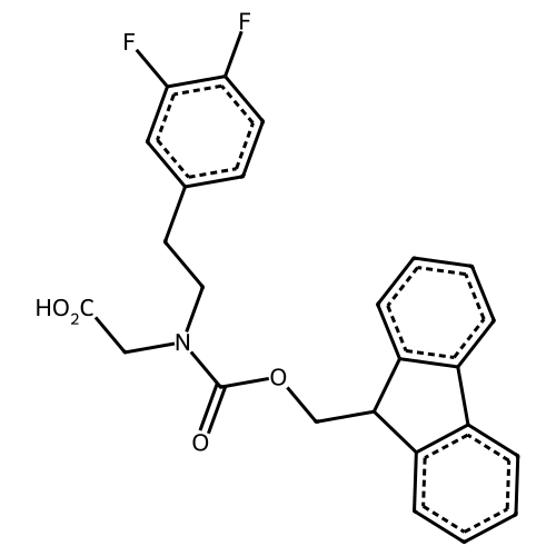 O=C(O)CN(CCc1ccc(F)c(F)c1)C(=O)OCC1c2ccccc2-c2ccccc21